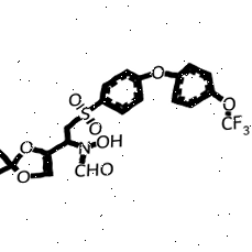 CC1(C)OC=C(C(CS(=O)(=O)c2ccc(Oc3ccc(OC(F)(F)F)cc3)cc2)N(O)C=O)O1